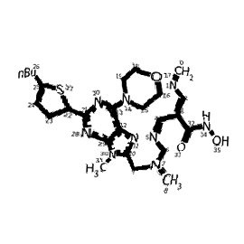 C=N/C=C(\C=N/CN(C)Cc1nc2c(N3CCOCC3)nc(C3CC=C(CCCC)S3)nc2n1C)C(=O)NO